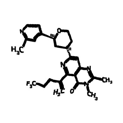 C=C(CCC(F)(F)F)c1nc([C@H]2CCO[C@H](c3ccnc(C)c3)C2)cc2nc(C)n(C)c(=O)c12